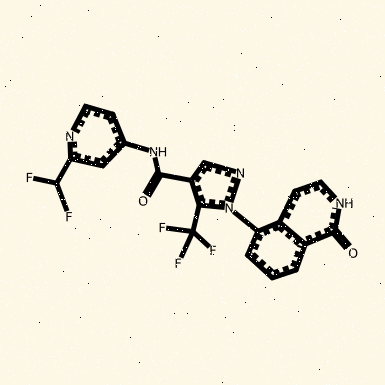 O=C(Nc1ccnc(C(F)F)c1)c1cnn(-c2cccc3c(=O)[nH]ccc23)c1C(F)(F)F